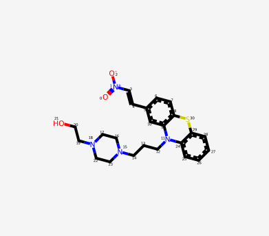 O=[N+]([O-])/C=C/c1ccc2c(c1)N(CCCN1CCN(CCO)CC1)c1ccccc1S2